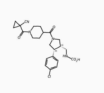 N#CC1(C(=O)N2CCC(C(=O)N3C[C@H](CNC(=O)O)[C@H](c4ccc(Cl)cc4)C3)CC2)CC1